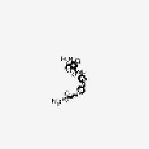 CCOC(=O)CCCN1CCC(CN2CCC(NC(=O)c3cc(Cl)c(N)c4c3OCC4)CC2)CC1